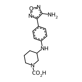 Nc1nonc1-c1ccc(NC2CCCN(C(=O)O)C2)cc1